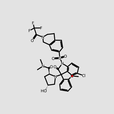 COc1ccccc1C1(N2C[C@H](O)C[C@H]2C(=O)N(C)C)C(=O)N(S(=O)(=O)c2ccc3c(c2)CN(C(=O)C(F)(F)F)CC3)c2ccc(Cl)cc21